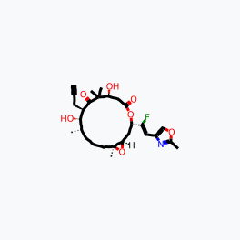 C#CC[C@H]1C(=O)C(C)(C)[C@@H](O)CC(=O)O[C@H](C(F)=Cc2coc(C)n2)C[C@H]2O[C@@]2(C)CCC[C@H](C)[C@@H]1O